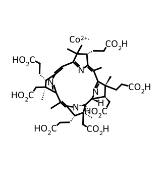 C/C1=C2N=C(/C=C3N=C(/C(C)=C4\[N-][C@@](C)([C@@H]5N=C1[C@](C)(CCC(=O)O)[C@H]5CC(=O)O)[C@@](C)(CC(=O)O)[C@@H]4CCC(=O)O)[C@@](C)(CC(=O)O)[C@@H]\3CCC(=O)O)C(C)(C)[C@@H]/2CCC(=O)O.[Co+2]